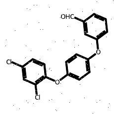 O=Cc1cccc(Oc2ccc(Oc3ccc(Cl)cc3Cl)cc2)c1